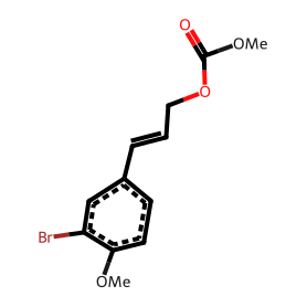 COC(=O)OCC=Cc1ccc(OC)c(Br)c1